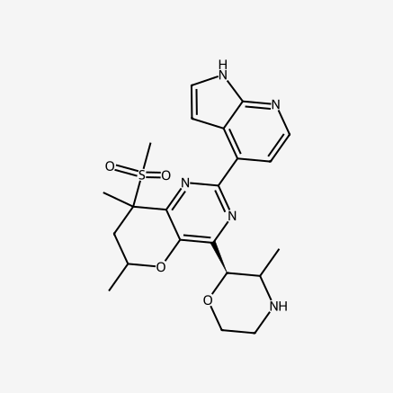 CC1CC(C)(S(C)(=O)=O)c2nc(-c3ccnc4[nH]ccc34)nc([C@@H]3OCCNC3C)c2O1